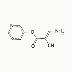 N#CC(=CN)C(=O)Oc1cccnc1